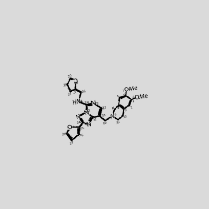 COc1cc2c(cc1OC)CN(Cc1cnc(NCC3CCCO3)n3nc(-c4ccco4)nc13)CC2